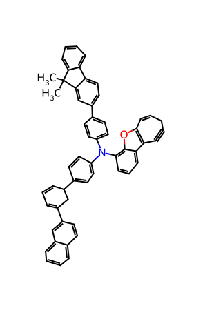 CC1(C)c2ccccc2-c2ccc(-c3ccc(N(c4ccc(C5C=CC=C(c6ccc7ccccc7c6)C5)cc4)c4cccc5c6c(oc45)C=CCC#C6)cc3)cc21